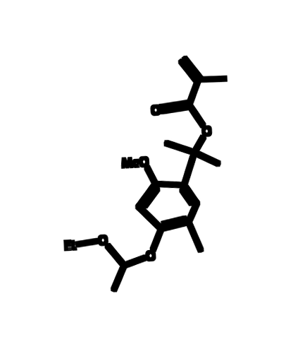 C=C(C)C(=O)OC(C)(C)c1cc(C)c(OC(C)OCC)cc1OC